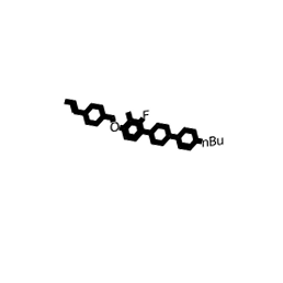 C/C=C/C1CCC(COc2ccc(C3CCC(C4C=CC(CCCC)CC4)CC3)c(F)c2C)CC1